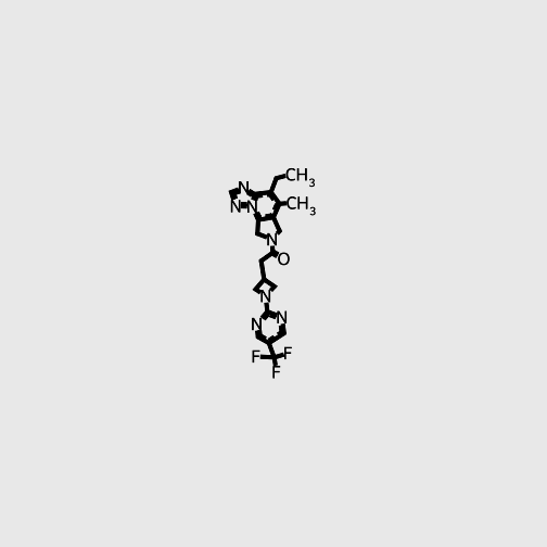 CCc1c(C)c2c(n3ncnc13)CN(C(=O)CC1CN(c3ncc(C(F)(F)F)cn3)C1)C2